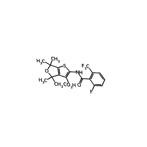 CC1(C)OC(C)(C)c2c1sc(NC(=O)c1c(F)cccc1C(F)(F)F)c2C(=O)O